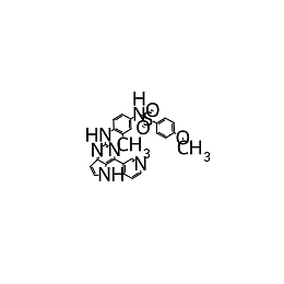 COc1ccc(S(=O)(=O)Nc2ccc(Nc3nc(-c4cccnc4)c4[nH]ccc4n3)c(C)c2)cc1